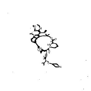 C=C/C(=C(\N=C/C)[C@H](C)OC)c1c2c3cc(ccc3n1CC)-c1nc(co1)C[C@H](NC(=O)[C@@H](COC1CNC1)C(C)C)C(=O)N1CCC[C@H](N1)C(=O)OCC(C)(C)C2